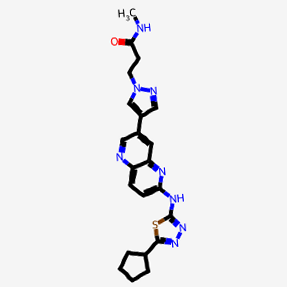 CNC(=O)CCn1cc(-c2cnc3ccc(Nc4nnc(C5CCCC5)s4)nc3c2)cn1